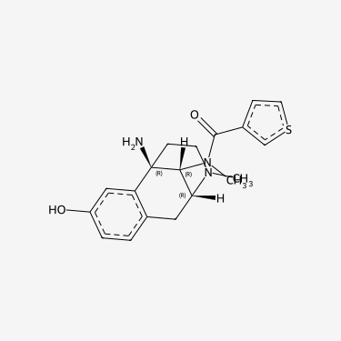 CN1CC[C@@]2(N)c3cc(O)ccc3C[C@@H]1[C@H]2N(C)C(=O)c1ccsc1